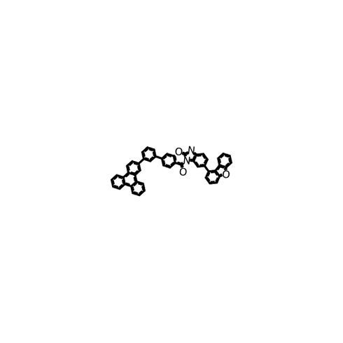 O=c1c2ccc(-c3cccc(-c4ccc5c6ccccc6c6ccccc6c5c4)c3)cc2oc2nc3ccc(-c4cccc5oc6ccccc6c45)cc3n12